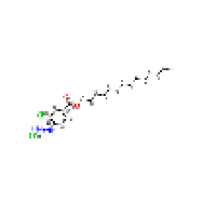 CCCCCCCCCCCCCCOC(=O)c1ccc(NNCl)c(Cl)c1